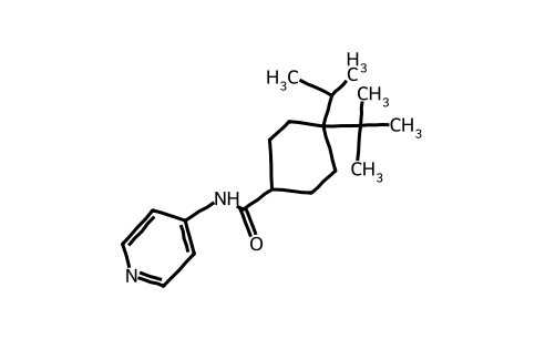 CC(C)C1(C(C)(C)C)CCC(C(=O)Nc2ccncc2)CC1